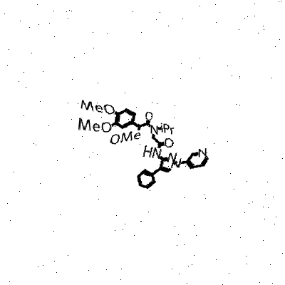 COc1ccc(C(OC)C(=O)N(CC(=O)Nc2nn(-c3cccnc3)cc2-c2ccccc2)C(C)C)cc1OC